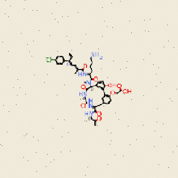 C=C/C(=C\C=C(/C)C(=O)N[C@@H](CCCCN)C(=O)N(C)[C@@H]1C(=O)N[C@@H](C)C(=O)N[C@H](C(=O)N[C@@H](C)C(C)=O)Cc2ccc(OCC(=O)O)c(c2)-c2cc1ccc2O)c1ccc(Cl)cc1